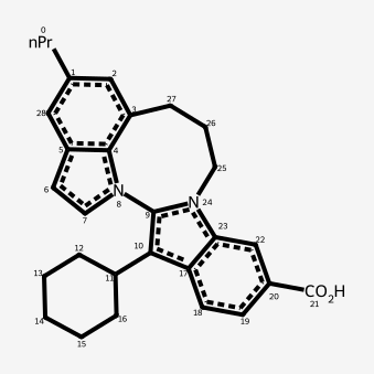 CCCc1cc2c3c(ccn3-c3c(C4CCCCC4)c4ccc(C(=O)O)cc4n3CCC2)c1